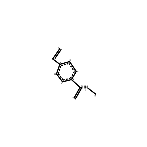 C=Cc1ccc(C(=C)NC)cc1